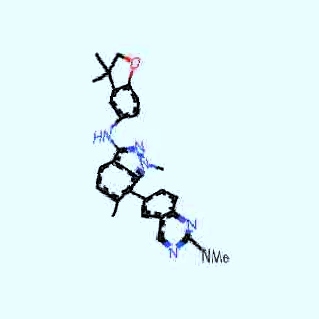 CNc1ncc2cc(-c3c(C)ccc4c(Nc5ccc6c(c5)C(C)(C)CO6)nn(C)c34)ccc2n1